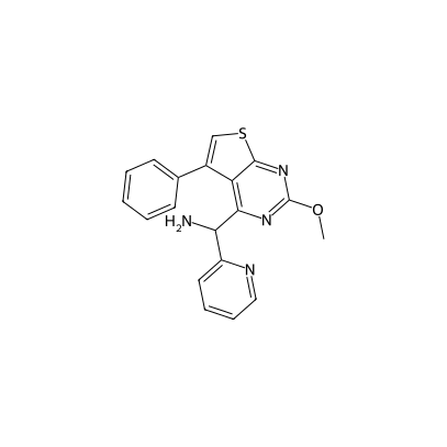 COc1nc(C(N)c2ccccn2)c2c(-c3ccccc3)csc2n1